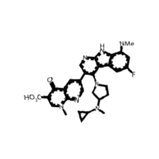 CNc1cc(F)cc2c1[nH]c1ncc(-c3cnc4c(c3)c(=O)c(C(=O)O)cn4C)c(N3CCC(N(C)C4CC4)C3)c12